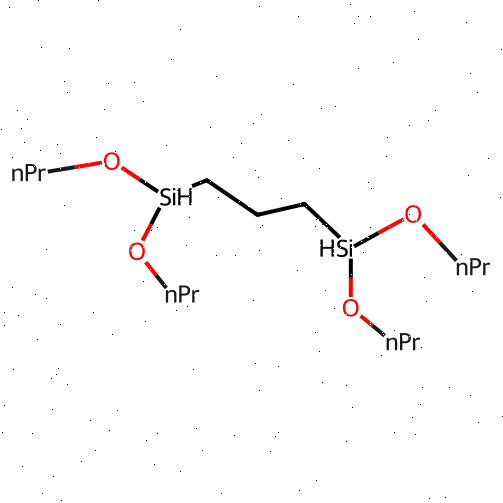 CCCO[SiH](CCC[SiH](OCCC)OCCC)OCCC